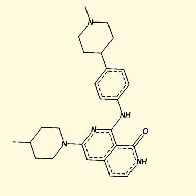 CC1CCN(c2cc3cc[nH]c(=O)c3c(Nc3ccc(C4CCN(C)CC4)cc3)n2)CC1